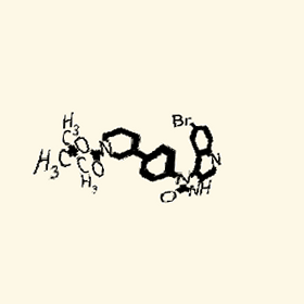 CC(C)(C)OC(=O)N1CCCC(c2ccc(-n3c(=O)[nH]c4cnc5ccc(Br)cc5c43)cc2)C1